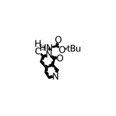 Cc1cc2ccncc2c(=O)n1NC(=O)OC(C)(C)C